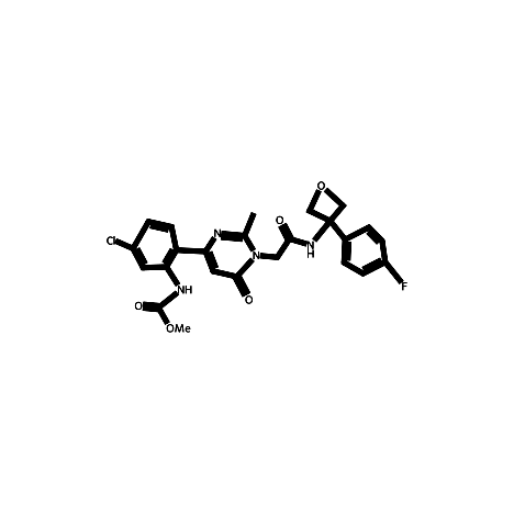 COC(=O)Nc1cc(Cl)ccc1-c1cc(=O)n(CC(=O)NC2(c3ccc(F)cc3)COC2)c(C)n1